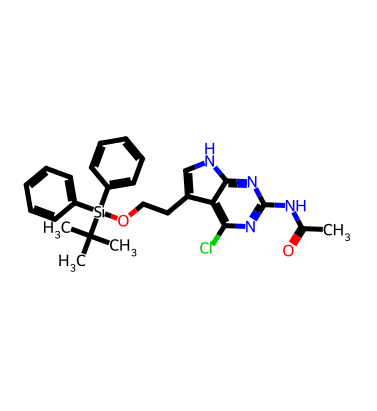 CC(=O)Nc1nc(Cl)c2c(CCO[Si](c3ccccc3)(c3ccccc3)C(C)(C)C)c[nH]c2n1